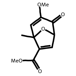 COC(=O)C1=CC2OC1(C)C=C(OC)C2=O